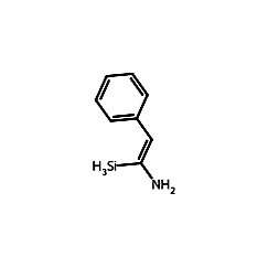 NC([SiH3])=Cc1ccccc1